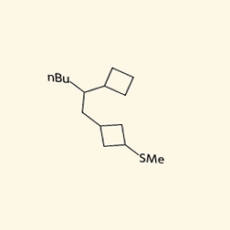 CCCCC(CC1CC(SC)C1)C1CCC1